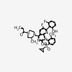 C=CC(=O)N1CCN(c2nc(=O)n(-c3c(C)cccc3S(=O)(=O)C3CC3)c3nc(-c4c(O)cccc4F)c(F)cc23)[C@@H](C)C1